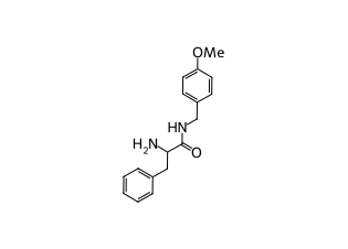 COc1ccc(CNC(=O)C(N)Cc2ccccc2)cc1